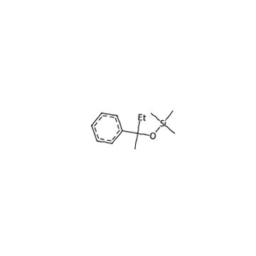 CCC(C)(O[Si](C)(C)C)c1ccccc1